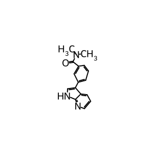 CN(C)C(=O)c1cccc(-c2c[nH]c3ncccc23)c1